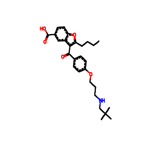 CCCCc1oc2ccc(C(=O)O)cc2c1C(=O)c1ccc(OCCCNCC(C)(C)C)cc1